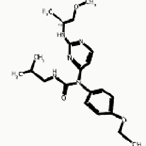 CCOc1ccc(N(C(=O)NCC(C)C)c2ccnc(N[C@@H](C)COC)n2)cc1